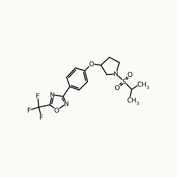 CC(C)S(=O)(=O)N1CCC(Oc2ccc(-c3noc(C(F)(F)F)n3)cc2)C1